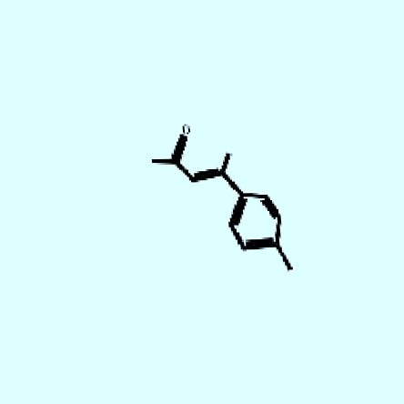 CC(=O)C=C(C)c1ccc(C)cc1